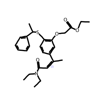 CCOC(=O)COc1cc(/C(C)=C\C(=O)N(CC)CC)ccc1SC(C)c1ccccc1